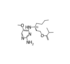 C=C(OCC[C@H](CCCC)Nc1nc(N)ncc1OC)C(C)C